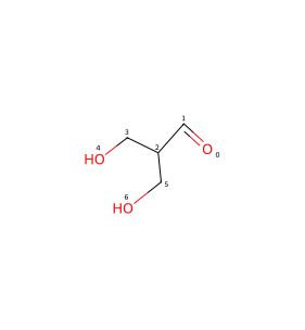 O=CC(CO)CO